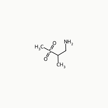 CC(CN)S(C)(=O)=O